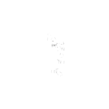 O=C(NCCc1c[nH]c2ccccc12)c1cccc(Oc2ncc(Cl)cc2NS(=O)(=O)c2ccc(Cl)c(Cl)c2)c1